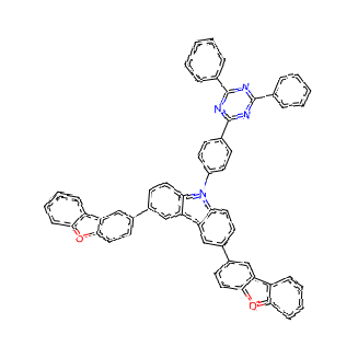 c1ccc(-c2nc(-c3ccccc3)nc(-c3ccc(-n4c5ccc(-c6ccc7oc8ccccc8c7c6)cc5c5cc(-c6ccc7oc8ccccc8c7c6)ccc54)cc3)n2)cc1